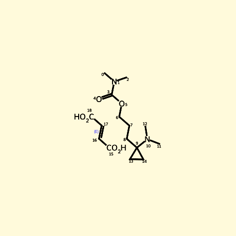 CN(C)C(=O)OCCCC1(N(C)C)CC1.O=C(O)/C=C/C(=O)O